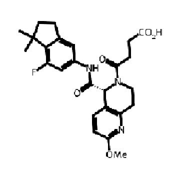 COc1ccc2c(n1)CCN(C(=O)CCC(=O)O)[C@H]2C(=O)Nc1cc(F)c2c(c1)CCC2(C)C